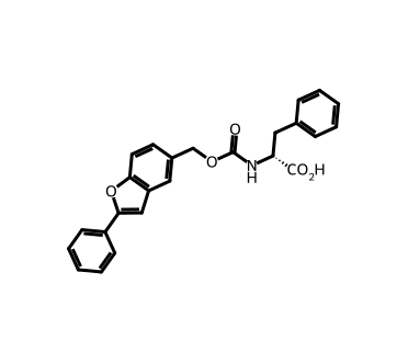 O=C(N[C@H](Cc1ccccc1)C(=O)O)OCc1ccc2oc(-c3ccccc3)cc2c1